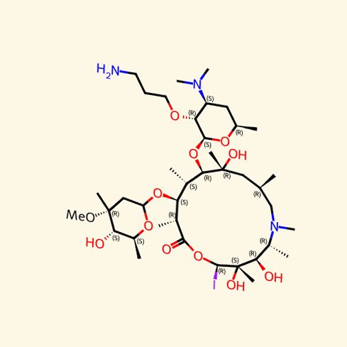 CO[C@]1(C)CC(O[C@H]2[C@H](C)[C@@H](O[C@@H]3O[C@H](C)C[C@H](N(C)C)[C@H]3OCCCN)[C@](C)(O)C[C@@H](C)CN(C)[C@H](C)[C@@H](O)[C@](C)(O)[C@@H](I)OC(=O)[C@@H]2C)O[C@@H](C)[C@@H]1O